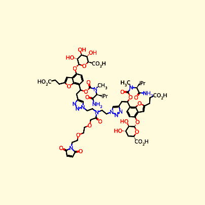 CC(C)[C@@H](C(N)=O)N(C)C(=O)OC(Cc1cn(CCN(CCn2cc(CC(OC(=O)N(C)[C@H](C(N)=O)C(C)C)c3ccc(O[C@@H]4O[C@H](C(=O)O)C[C@H](O)[C@H]4O)c4cc(CCC(=O)O)oc34)nn2)C(=O)COCCOCCN2C(=O)C=CC2=O)nn1)c1ccc(O[C@@H]2O[C@H](C(=O)O)[C@@H](O)[C@H](O)[C@H]2O)c2cc(CCC(=O)O)oc12